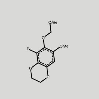 COCOc1c(OC)cc2c(c1F)OCCO2